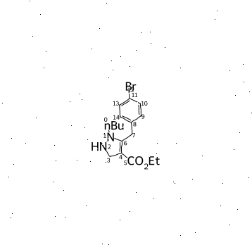 CCCCN1NCC(C(=O)OCC)=C1Cc1ccc(Br)cc1